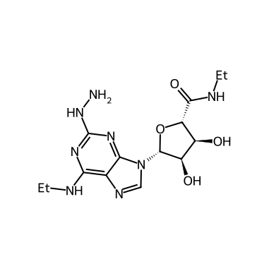 CCNC(=O)[C@H]1O[C@@H](n2cnc3c(NCC)nc(NN)nc32)[C@H](O)[C@@H]1O